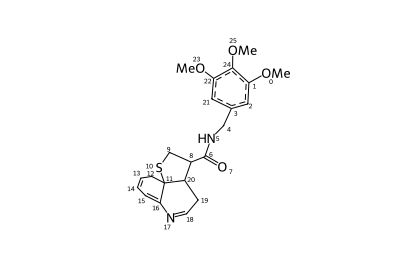 COc1cc(CNC(=O)C2CSC34CC=CC=C3N=CCC24)cc(OC)c1OC